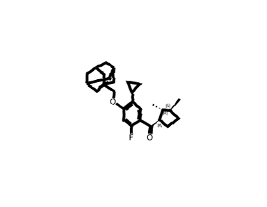 C[C@@H]1[C@@H](C)CC[C@H]1C(=O)c1cc(C2CC2)c(OCC23CC4CC(CC(C4)C2)C3)cc1F